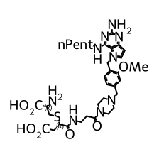 CCCCCNc1nc(N)nc2ccn(Cc3ccc(CN4CCN(C(=O)CCNC(=O)[C@@H](CC(=O)O)SC[C@H](N)C(=O)O)CC4)cc3OC)c12